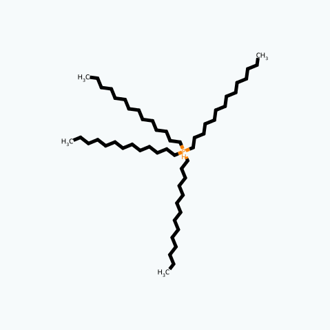 CCCCCCCCCCCCCC[PH](CCCCCCCCCCCCC)(CCCCCCCCCCCCCC)CCCCCCCCCCCCCC